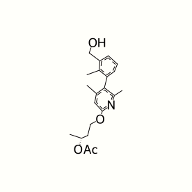 CC(=O)O[C@H](C)CCOc1cc(C)c(-c2cccc(CO)c2C)c(C)n1